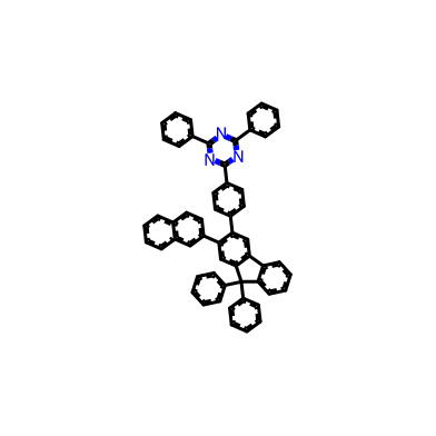 c1ccc(-c2nc(-c3ccccc3)nc(-c3ccc(-c4cc5c(cc4-c4ccc6ccccc6c4)C(c4ccccc4)(c4ccccc4)c4ccccc4-5)cc3)n2)cc1